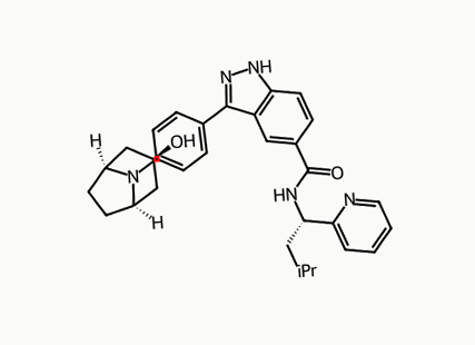 CC(C)C[C@H](NC(=O)c1ccc2[nH]nc(-c3ccc(N4[C@@H]5CC[C@H]4C[C@@H](O)C5)cc3)c2c1)c1ccccn1